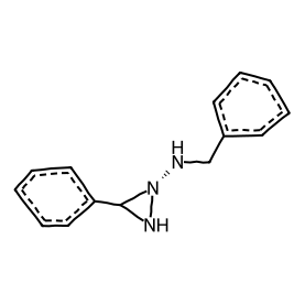 c1ccc(CN[N@]2NC2c2ccccc2)cc1